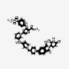 CS(=O)(=O)c1ccc(Nc2nc(N3CCC[C@@H](NC4CCN(CC5CCN(c6ccc7c(c6)C(=O)N(C6CCC(=O)NC6=O)C7=O)CC5)C4)C3)cnc2C(N)=O)cc1